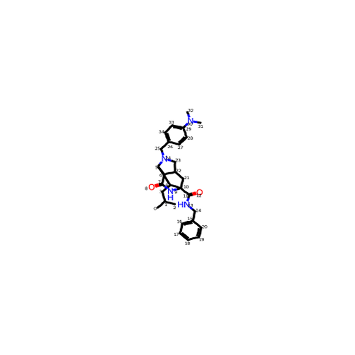 CC(C)CC1C2C3C(=O)NC1(C(=O)NCc1ccccc1)CC3CN2Cc1ccc(N(C)C)cc1